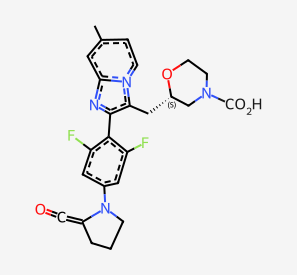 Cc1ccn2c(C[C@H]3CN(C(=O)O)CCO3)c(-c3c(F)cc(N4CCCC4=C=O)cc3F)nc2c1